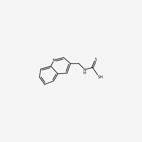 S=C(S)NCc1cnc2ccccc2c1